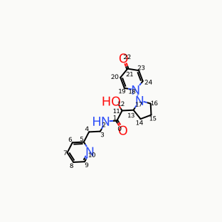 O=C(NCCc1ccccn1)C(O)C1CCCN1n1ccc(=O)cc1